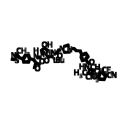 Cc1ncsc1-c1ccc([C@H](NC(=O)[C@@H]2C[C@@H](O)CN2C(=O)[C@@H](NC(=O)CN2CCN(CCCc3ccc(C(=O)N[C@H]4C(C)(C)[C@H](Oc5ccc(C#N)c(C(F)(F)F)c5)C4(C)C)cc3)CC2)C(C)(C)C)C2COC2)cc1